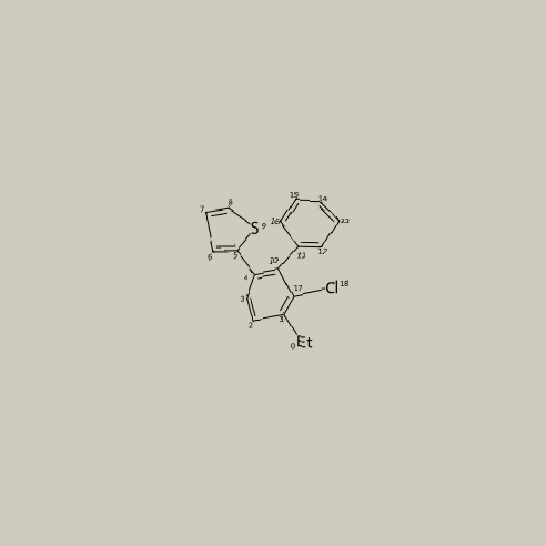 CCc1c[c]c(-c2cccs2)c(-c2ccccc2)c1Cl